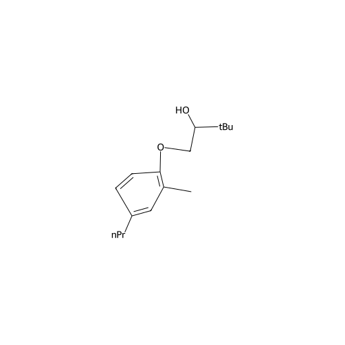 CCCc1ccc(OCC(O)C(C)(C)C)c(C)c1